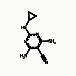 N#Cc1c(N)nc(NC2CC2)nc1N